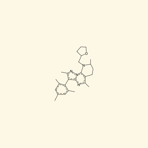 Cc1cc(C)c(-c2c(C)nn3c4c(c(C)nc23)CCC(C)N4CC2CCCO2)c(C)c1